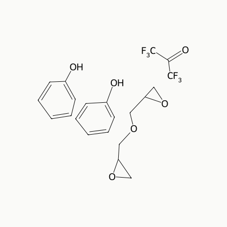 C(OCC1CO1)C1CO1.O=C(C(F)(F)F)C(F)(F)F.Oc1ccccc1.Oc1ccccc1